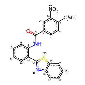 COc1ccc(C(=O)Nc2ccccc2-c2nc3ccccc3s2)cc1[N+](=O)[O-]